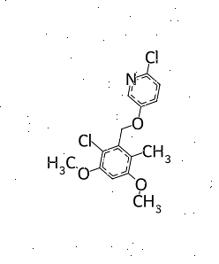 COc1cc(OC)c(Cl)c(COc2ccc(Cl)nc2)c1C